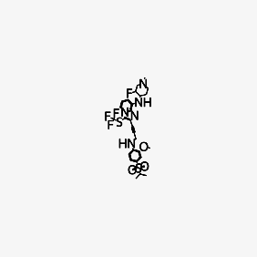 COc1cc(S(=O)(=O)C(C)C)ccc1NCC#Cc1nc2c(N[C@@H]3CCN(C)C[C@@H]3F)cccn2c1SC(F)(F)F